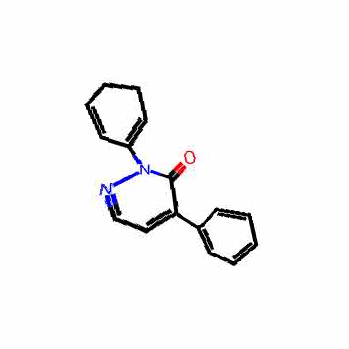 O=c1c(-c2ccccc2)ccnn1C1=CCCC=C1